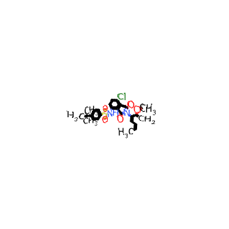 C=C(OC)/C(=C\C=C/C)N1C(=O)c2c(Cl)ccc(NS(=O)(=O)c3ccc(C(C)(C)C)cc3)c2C1=O